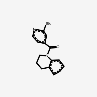 CC(C)(C)c1cc(C(=O)N2CCCc3ccccc32)ccn1